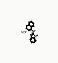 Cl.c1ccc2c(c1)CCC[C@H]2Nc1nc2ccccc2[nH]1